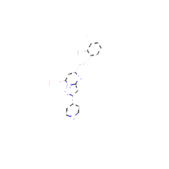 Oc1cc(CSc2cccc(F)c2F)nc2cc(-c3ccncc3)nn12